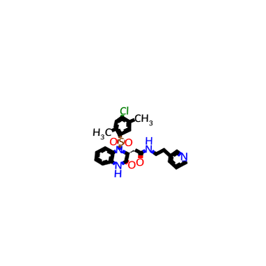 Cc1cc(S(=O)(=O)N2c3ccccc3NC(=O)[C@H]2CC(=O)NCCc2cccnc2)c(C)cc1Cl